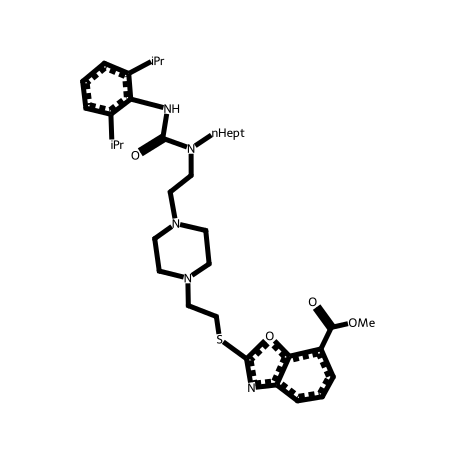 CCCCCCCN(CCN1CCN(CCSc2nc3cccc(C(=O)OC)c3o2)CC1)C(=O)Nc1c(C(C)C)cccc1C(C)C